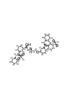 CS(=O)(=O)c1ccc2c3ccc(OCCNC[C@H](O)c4cccc(N(Cc5ccccc5)S(C)(=O)=O)c4)cc3n(Cc3ccccc3)c2c1